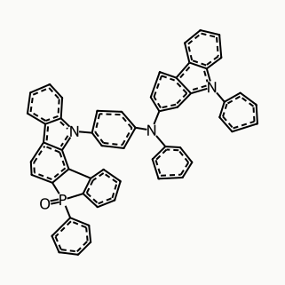 O=P1(c2ccccc2)c2ccccc2-c2c1ccc1c3ccccc3n(-c3ccc(N(c4ccccc4)c4ccc5c6ccccc6n(-c6ccccc6)c5c4)cc3)c21